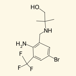 CC(C)(CO)NCc1cc(Br)cc(C(F)(F)F)c1N